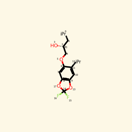 CC(C)C[C@@H](O)COc1cc2c(cc1C(C)C)OC(F)(F)O2